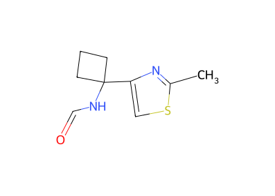 Cc1nc(C2(NC=O)CCC2)cs1